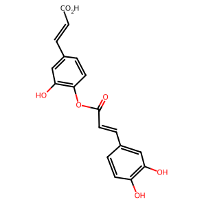 O=C(O)/C=C/c1ccc(OC(=O)C=Cc2ccc(O)c(O)c2)c(O)c1